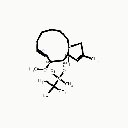 CO[C@H]1/C=C/CCCCCN2CC(C)=C[C@@H]2[C@@H]1O[Si](C)(C)C(C)(C)C